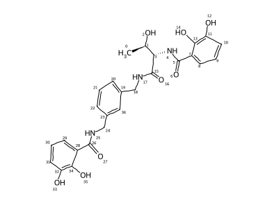 C[C@@H](O)[C@H](NC(=O)c1cccc(O)c1O)C(=O)NCc1cccc(CNC(=O)c2cccc(O)c2O)c1